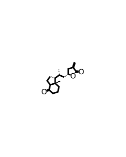 C=C1C[C@@H](C[C@@H](C)[C@H]2CCC3C(=O)CCC[C@]32C)OC1=O